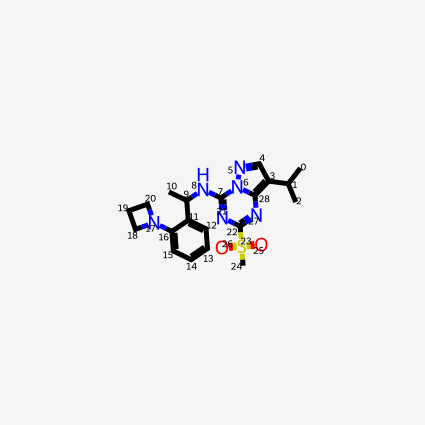 CC(C)c1cnn2c(NC(C)c3ccccc3N3CCC3)nc(S(C)(=O)=O)nc12